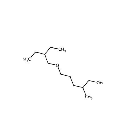 CCC(CC)COCCCC(C)CO